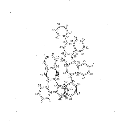 c1ccc(-c2nc3cccc(-n4c5cc(-c6ccccc6)c6ccccc6c5c5c6ccccc6c(-c6ccccc6)cc54)c3nc2-c2ccccc2)cc1